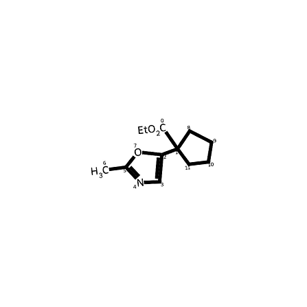 CCOC(=O)C1(c2cnc(C)o2)CCCC1